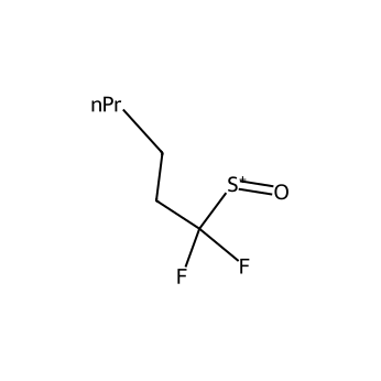 CCCCCC(F)(F)[S+]=O